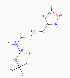 Cc1cc(CNCCN(C)C(=O)OC(C)(C)C)no1